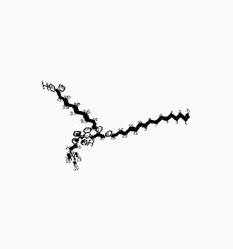 CCCCCCCCCCCCCCCCOCC(COP(=O)(O)OCC[N+](C)(C)C)OC(=O)CCCCCCCCC(=O)O